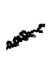 CCN(CCO)CCC#Cc1cc2ncnc(Nc3cc(CC(=O)Nc4cccc(F)c4)[nH]n3)c2cc1C(F)(F)F